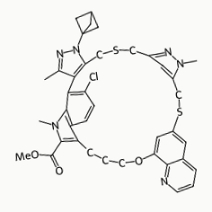 COC(=O)c1c2c3ccc(Cl)c(c3n1C)-c1c(C)nn(C34CC(C3)C4)c1CSCc1cc(n(C)n1)CSc1cc(c3ncccc3c1)OCCC2